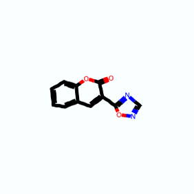 O=c1oc2ccccc2cc1-c1n[c]no1